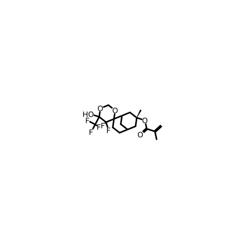 C=C(C)C(=O)O[C@]1(C)CC2CCC3(OCOC(O)(C(F)(F)F)C3(F)F)C(C2)C1